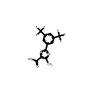 Cc1nc(-c2cc(C(F)(F)F)cc(C(F)(F)F)c2)sc1C(=O)O